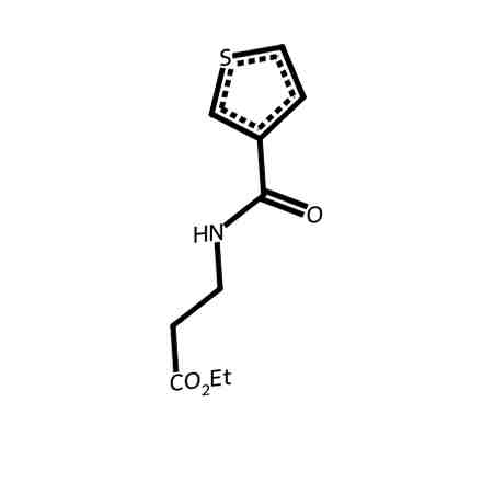 CCOC(=O)CCNC(=O)c1ccsc1